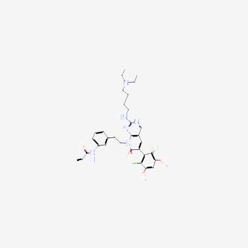 C=CC(=O)Nc1cccc(CCn2c(=O)c(-c3c(Cl)c(OC)cc(OC)c3Cl)cc3cnc(NCCCCN(CC)CC)nc32)c1